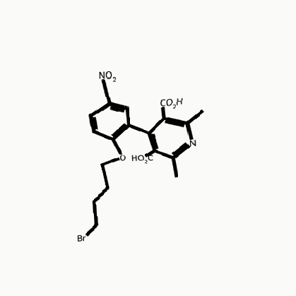 Cc1nc(C)c(C(=O)O)c(-c2cc([N+](=O)[O-])ccc2OCCCCBr)c1C(=O)O